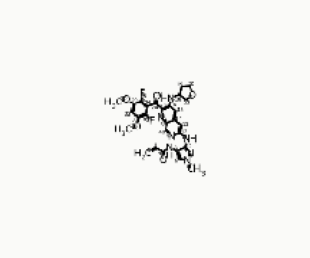 C=CC(=O)Nc1cn(C)nc1Nc1cc2cc(NC3CCOC3)c(C(=O)c3c(F)c(OC)cc(OC)c3F)nc2cn1